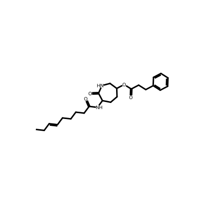 CC/C=C/CCCCC(=O)NC1CCC(OC(=O)CCc2ccccc2)CNC1=O